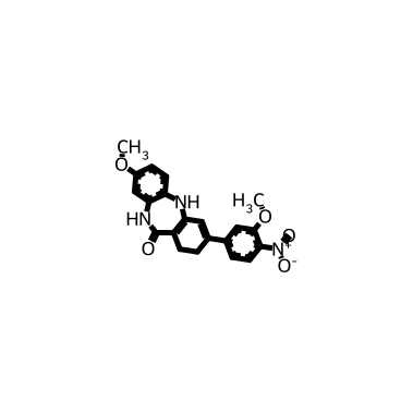 COc1ccc2c(c1)NC(=O)C1=C(C=C(c3ccc([N+](=O)[O-])c(OC)c3)CC1)N2